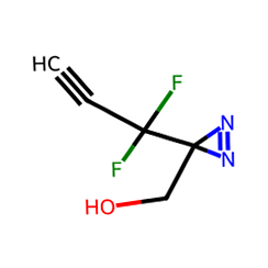 C#CC(F)(F)C1(CO)N=N1